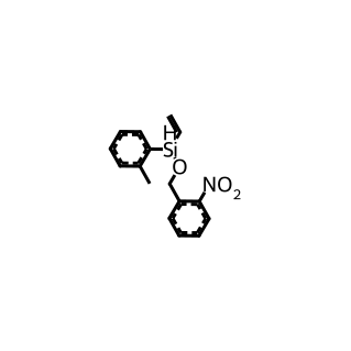 C=C[SiH](OCc1ccccc1[N+](=O)[O-])c1ccccc1C